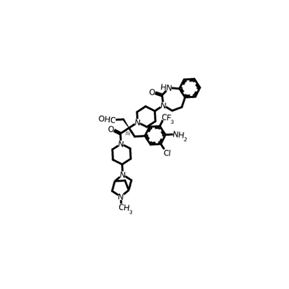 CN1CC2CC1CN2C1CCN(C(=O)[C@@](CC=O)(Cc2cc(Cl)c(N)c(C(F)(F)F)c2)N2CCC(N3CCc4ccccc4NC3=O)CC2)CC1